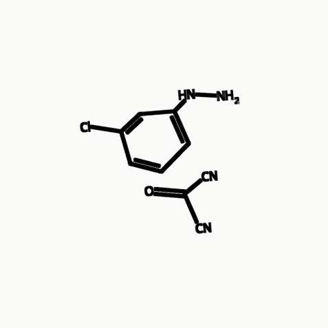 N#CC(=O)C#N.NNc1cccc(Cl)c1